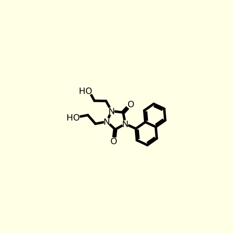 O=c1n(-c2cccc3ccccc23)c(=O)n(CCO)n1CCO